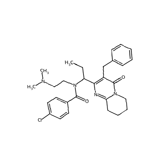 CCC(c1nc2n(c(=O)c1Cc1ccccc1)CCCC2)N(CCN(C)C)C(=O)c1ccc(Cl)cc1